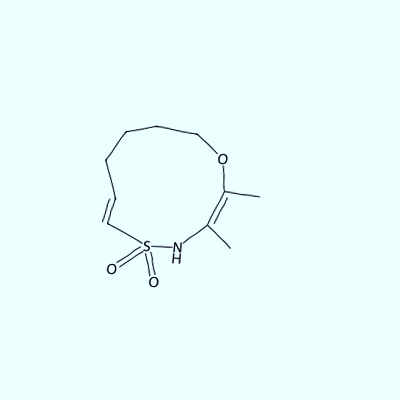 C/C1=C(\C)OCCCC/C=C/S(=O)(=O)N1